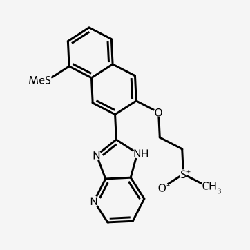 CSc1cccc2cc(OCC[S+](C)[O-])c(-c3nc4ncccc4[nH]3)cc12